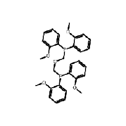 COc1ccccc1P(COCP(c1ccccc1OC)c1ccccc1OC)c1ccccc1OC